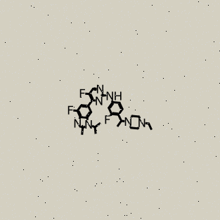 CCN1CCN(C(C)c2ccc(Nc3ncc(F)c(-c4cc(F)c5nc(C)n(C(C)C)c5c4)n3)cc2F)CC1